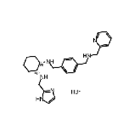 Br.c1ccc(CNCc2ccc(CN[C@H]3CCCC[C@H]3NCc3ncc[nH]3)cc2)nc1